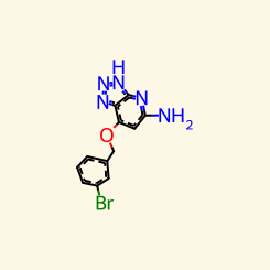 Nc1cc(OCc2cccc(Br)c2)c2nn[nH]c2n1